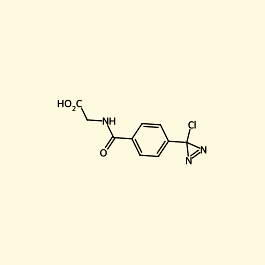 O=C(O)CNC(=O)c1ccc(C2(Cl)N=N2)cc1